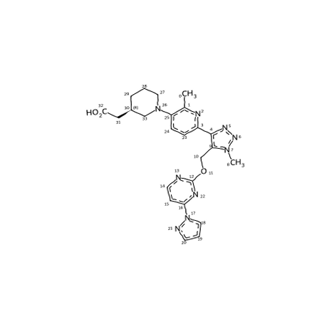 Cc1nc(-c2nnn(C)c2COc2nccc(-n3cccn3)n2)ccc1N1CCC[C@H](CC(=O)O)C1